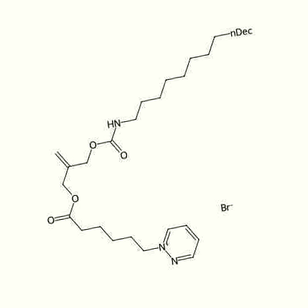 C=C(COC(=O)CCCCC[n+]1ccccn1)COC(=O)NCCCCCCCCCCCCCCCCCC.[Br-]